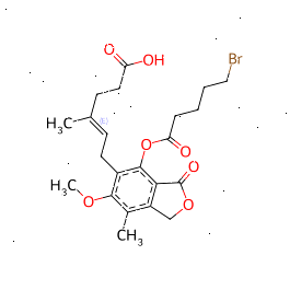 COc1c(C)c2c(c(OC(=O)CCCCBr)c1C/C=C(\C)CCC(=O)O)C(=O)OC2